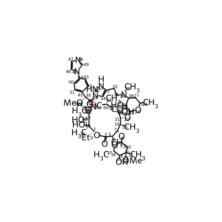 CC[C@H]1OC(=O)[C@H](C)[C@@H](O[C@H]2C[C@@](C)(OC)[C@@H](O)[C@H](C)O2)[C@H](C)[C@@H](O[C@@H]2O[C@H](C)C[C@H](N(C)CCC3=CN([C@H](CF)[C@H](OC)c4ccc(-n5ccnc5)cc4)NN3)[C@H]2O)[C@](C)(O)C[C@@H](C)CN(C)[C@H](C)[C@@H](O)[C@]1(C)O